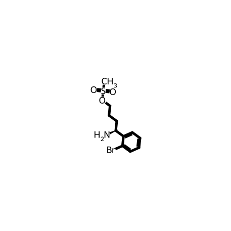 CS(=O)(=O)OCCC[C@H](N)c1ccccc1Br